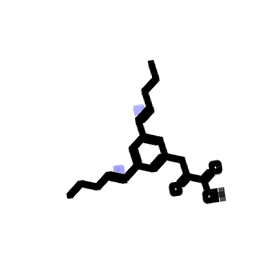 CCC/C=C/c1cc(/C=C/CCC)cc(CC(=O)C(=O)O)c1